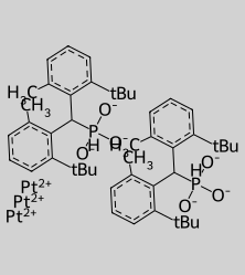 Cc1cccc(C(C)(C)C)c1C(c1c(C)cccc1C(C)(C)C)[PH]([O-])([O-])[O-].Cc1cccc(C(C)(C)C)c1C(c1c(C)cccc1C(C)(C)C)[PH]([O-])([O-])[O-].[Pt+2].[Pt+2].[Pt+2]